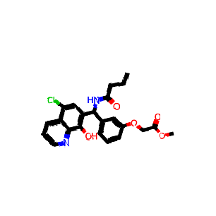 CCCC(=O)NC(c1cccc(OCC(=O)OC)c1)c1cc(Cl)c2cccnc2c1O